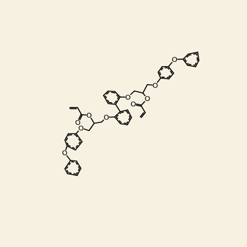 C=CC(=O)OC(COc1ccc(Oc2ccccc2)cc1)COc1ccccc1-c1ccccc1OCC(COc1ccc(Oc2ccccc2)cc1)OC(=O)C=C